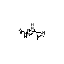 Fc1cc(-c2c[nH]c3nc(NCC4(F)CC4)ncc23)cn2ncnc12